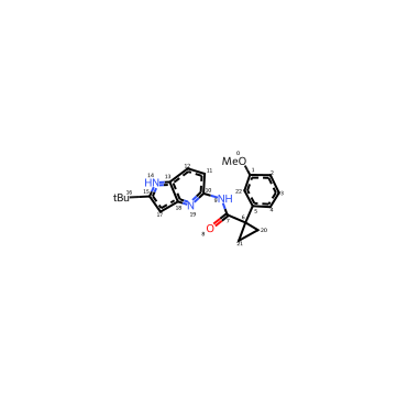 COc1cccc(C2(C(=O)Nc3ccc4[nH]c(C(C)(C)C)cc4n3)CC2)c1